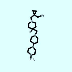 CC(C)CC1(CN2CCC(F)(CN3CCC(N4CCN(C)CC4)CC3)CC2)CC1